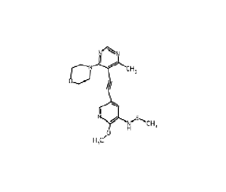 COc1ncc(C#Cc2c(C)ncnc2N2CCOCC2)cc1NSC